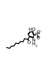 CCCCCCCCCC(=O)c1ccc(O)c([N+](=O)[O-])c1N